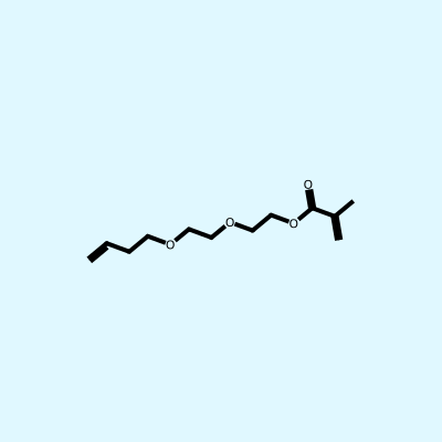 C=CCCOCCOCCOC(=O)C(=C)C